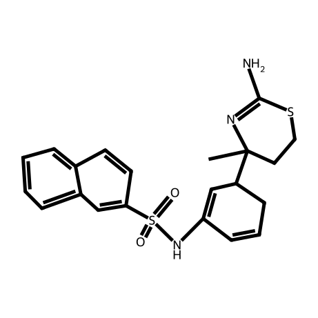 CC1(C2C=C(NS(=O)(=O)c3ccc4ccccc4c3)C=CC2)CCSC(N)=N1